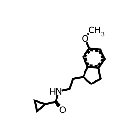 COc1ccc2c(c1)C(CCNC(=O)C1CC1)CC2